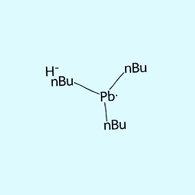 CCC[CH2][Pb]([CH2]CCC)[CH2]CCC.[H-]